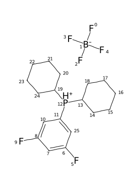 F[B-](F)(F)F.Fc1cc(F)cc([PH+](C2CCCCC2)C2CCCCC2)c1